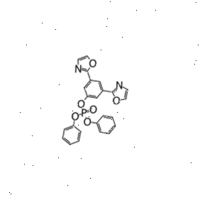 O=P(Oc1ccccc1)(Oc1ccccc1)Oc1cc(-c2ncco2)cc(-c2ncco2)c1